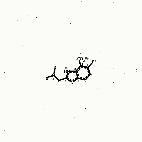 CCOC(=O)c1c(F)ccc2nc(CN(C)C)[nH]c12